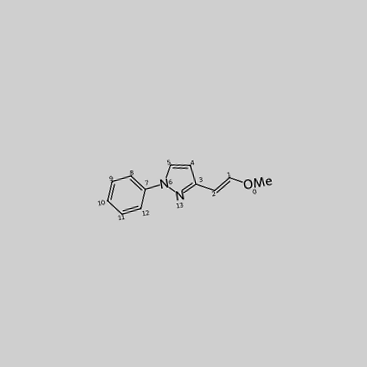 CO/C=C/c1ccn(-c2ccccc2)n1